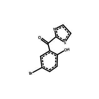 O=C(c1nccs1)c1cc(Br)ccc1O